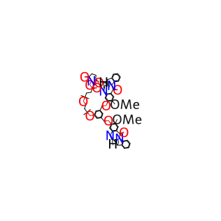 COc1cc2c(cc1OCc1cc(COc3cc4c(cc3OC)C(=O)N3c5ccccc5C[C@H]3C=N4)cc(OC(C)(C)CCOC(C)(C)CCC(=O)ON3C(=O)CCC3=O)c1)N=C[C@@H]1Cc3ccccc3N1C2=O